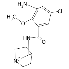 COc1c(N)cc(Cl)cc1C(=O)NC1CN2CCC1CC2